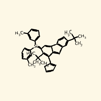 Cc1cccc([Si](c2cccc(C)c2)=c2cc3c(c(C4=CC=CC4)c2C(C)(C)C)=[C]c2cc(C(C)(C)C)ccc2-3)c1